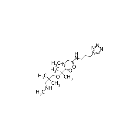 CNCC(C)(C)COC(C)(C)C(=O)N(C)CC(=O)NCCCn1cnnn1